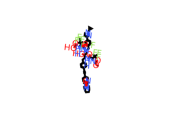 COC(=O)NC(C(=O)NC(Cc1ccc(C#Cc2ccc(N3CC4CCC(C3)N4C3COC3)nc2)cc1)C(O)CN(Cc1c(F)cc(-c2ccn(C3CC3)n2)cc1F)NC(=O)C(NC(=O)O)C(C)(C)C(F)(F)F)C(C)(C)C(F)(F)F